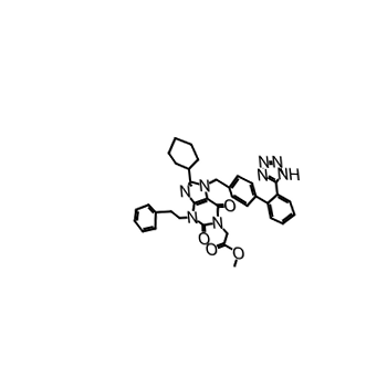 COC(=O)Cn1c(=O)c2c(nc(C3CCCCC3)n2Cc2ccc(-c3ccccc3-c3nnn[nH]3)cc2)n(CCc2ccccc2)c1=O